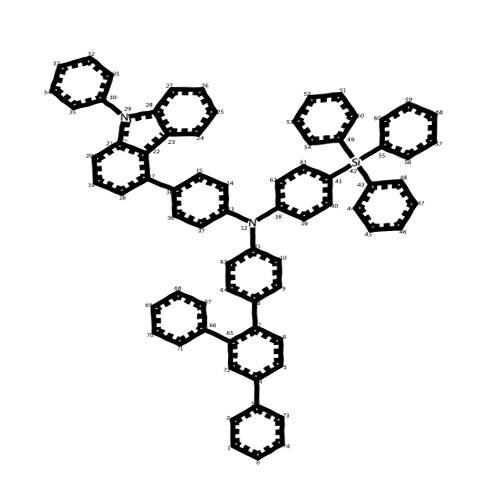 c1ccc(-c2ccc(-c3ccc(N(c4ccc(-c5cccc6c5c5ccccc5n6-c5ccccc5)cc4)c4ccc([Si](c5ccccc5)(c5ccccc5)c5ccccc5)cc4)cc3)c(-c3ccccc3)c2)cc1